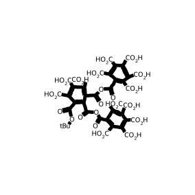 CC(C)(C)OC(=O)c1c(C(=O)O)c(C(=O)O)c(C(=O)O)c(C(=O)OC(=O)c2c(C(=O)O)c(C(=O)O)c(C(=O)O)c(C(=O)O)c2C(=O)O)c1C(=O)OC(=O)c1c(C(=O)O)c(C(=O)O)c(C(=O)O)c(C(=O)O)c1C(=O)O